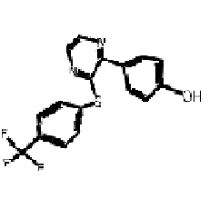 Oc1ccc(-c2nccnc2Sc2ccc(C(F)(F)F)cc2)cc1